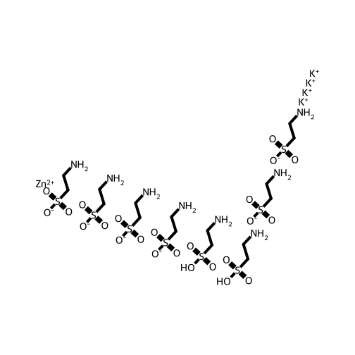 NCCS(=O)(=O)O.NCCS(=O)(=O)O.NCCS(=O)(=O)[O-].NCCS(=O)(=O)[O-].NCCS(=O)(=O)[O-].NCCS(=O)(=O)[O-].NCCS(=O)(=O)[O-].NCCS(=O)(=O)[O-].[K+].[K+].[K+].[K+].[Zn+2]